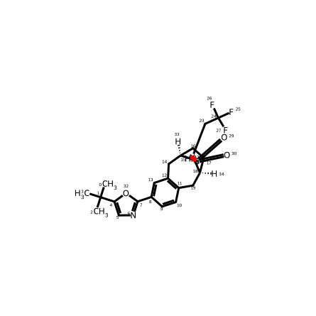 CC(C)(C)c1cnc(-c2ccc3c(c2)C[C@H]2CC[C@@H](C3)[C@]23CN(CC(F)(F)F)S(=O)(=O)N3)o1